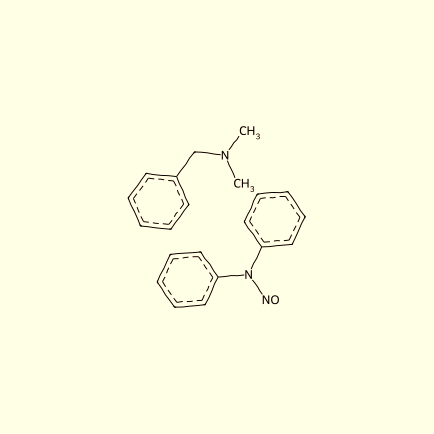 CN(C)Cc1ccccc1.O=NN(c1ccccc1)c1ccccc1